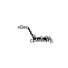 CCCCCCCCCCCCCCCCCCOCC(CSCCOCC[N+](C)(C)C)OC.[Cl-]